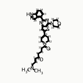 CN(C)C/C=C/C(=O)CCCC(=O)N1CC=C(c2cc3nc(-c4cccc5[nH]ncc45)nc(N4CCOCC4)c3s2)CC1